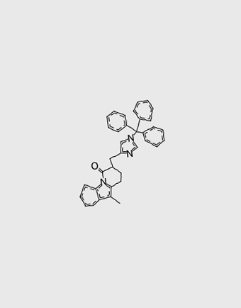 Cc1c2n(c3ccccc13)C(=O)C(Cc1cn(C(c3ccccc3)(c3ccccc3)c3ccccc3)cn1)CC2